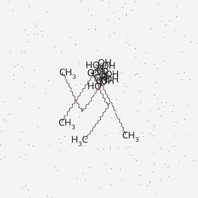 CCCCCCCCCCCCCCCCCCCCCCCCC(C(=O)OC[C@H]1O[C@H](O[C@H]2O[C@H](COC(=O)C(CCCCCCCCCCCCCCCCCCCCCCCC)C(O)CCCCCCCCCCCC3CC3CCCCCCCCCCCCCCCCCC)[C@@H](O)[C@H](O)[C@H]2O)[C@H](O)[C@@H](O)[C@@H]1O)C(O)CCCCCCCCCCCC1CC1CCCCCCCCCCCCCCCCCC